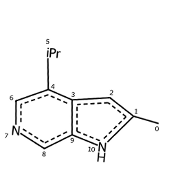 Cc1cc2c(C(C)C)cncc2[nH]1